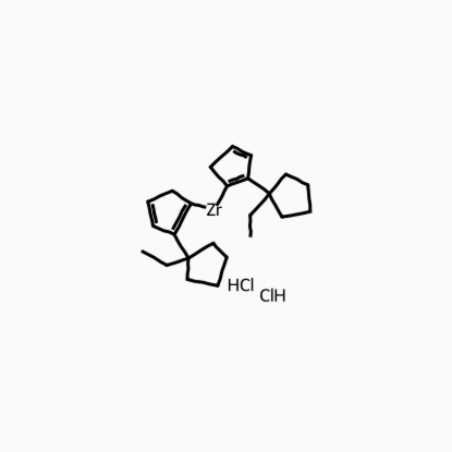 CCC1(C2=[C]([Zr][C]3=C(C4(CC)CCCC4)C=CC3)CC=C2)CCCC1.Cl.Cl